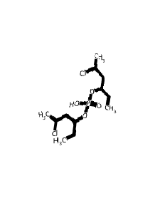 CCC(CC(C)Cl)OP(=O)(O)OC(CC)CC(C)Cl